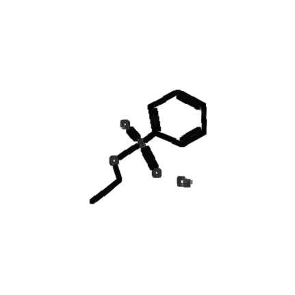 CCOS(=O)(=O)c1ccccc1.[Cu]